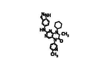 Cc1ccc(N2C(=O)[C@@H](C)N(C3CCCCC3)c3nc(Nc4ccc5[nH]ncc5c4)ncc32)cn1